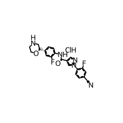 Cl.N#Cc1ccc(-n2cc(C(=O)Nc3ccc([C@H]4CNCCO4)cc3F)cn2)c(F)c1